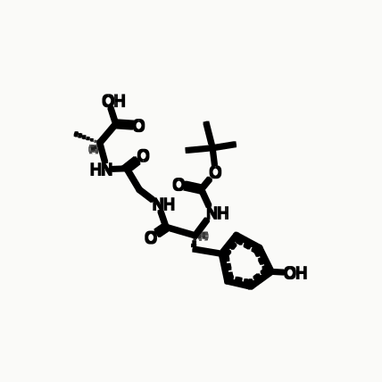 C[C@@H](NC(=O)CNC(=O)[C@@H](Cc1ccc(O)cc1)NC(=O)OC(C)(C)C)C(=O)O